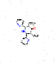 O=C(O)C1C(=O)C(C(=O)O)C(c2ccccn2)NC1c1ccccn1